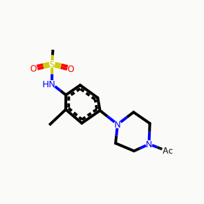 CC(=O)N1CCN(c2ccc(NS(C)(=O)=O)c(C)c2)CC1